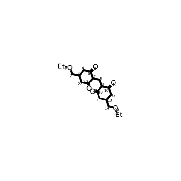 CCOCC1CC(=O)C(CC2C(=O)CC(COCC)CC2=O)C(=O)C1